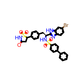 O=C1CC(c2ccc(C[C@H](NS(=O)(=O)c3ccc(-c4ccccc4)cc3)c3nc4ccc(Br)cc4[nH]3)cc2)S(=O)(=O)N1